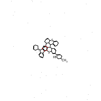 CC1CC=C(C2=CC3SC4C=CCCC4C(C4C5=CCCC=C5SC5C=CCC(C6=CC7C(C=C6)c6ccccc6N7C6CC=CCC6)C54)C3C=C2)NC1